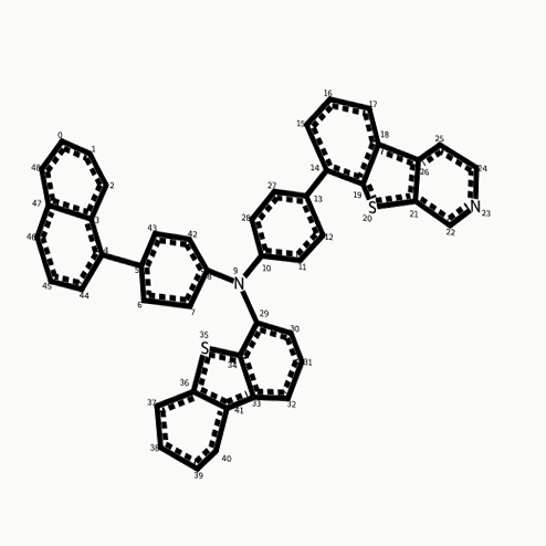 c1ccc2c(-c3ccc(N(c4ccc(-c5cccc6c5sc5cnccc56)cc4)c4cccc5c4sc4ccccc45)cc3)cccc2c1